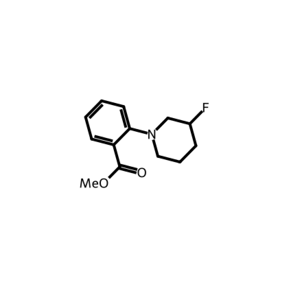 COC(=O)c1ccccc1N1CCCC(F)C1